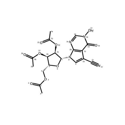 CC(=O)OC[C@H]1O[C@@H](n2cc(C#N)c3c(=O)n(O)cnc32)[C@H](OC(C)=O)[C@@H]1OC(C)=O